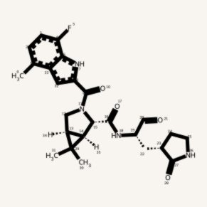 Cc1ccc(F)c2[nH]c(C(=O)N3C[C@H]4[C@@H]([C@H]3C(=O)N[C@H](C=O)C[C@@H]3CCNC3=O)C4(C)C)cc12